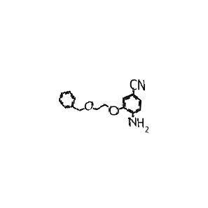 N#Cc1ccc(N)c(OCCOCc2ccccc2)c1